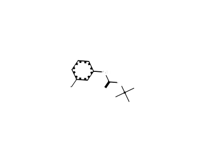 CC(C)(C)OC(=O)Nc1[c]c(Cl)ccc1